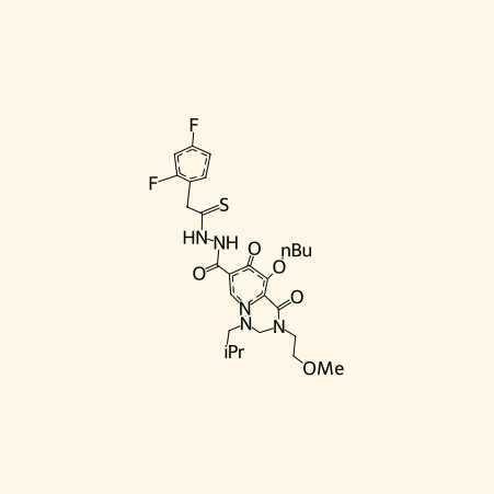 CCCCOc1c2n(cc(C(=O)NNC(=S)Cc3ccc(F)cc3F)c1=O)N(CC(C)C)CN(CCOC)C2=O